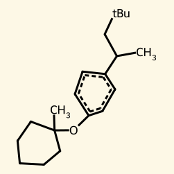 CC(CC(C)(C)C)c1ccc(OC2(C)CCCCC2)cc1